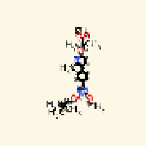 CCOc1nc(-c2ccc(-c3ccc(OCC(C)(C)C(=O)OC)nc3C)cc2)nn1COCC[Si](C)(C)C